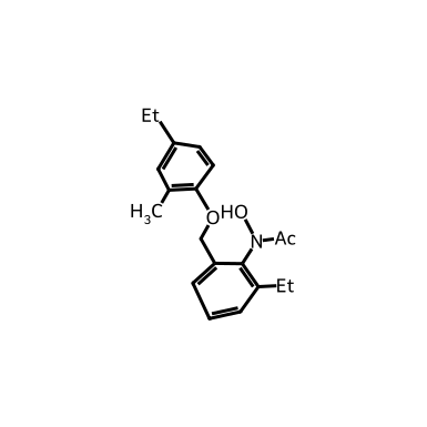 CCc1ccc(OCc2cccc(CC)c2N(O)C(C)=O)c(C)c1